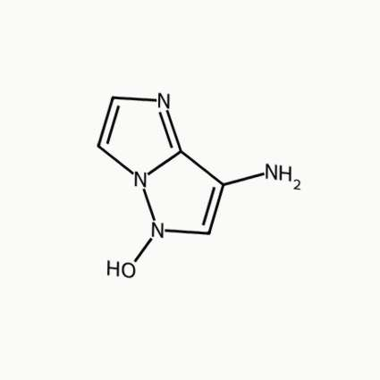 Nc1cn(O)n2ccnc12